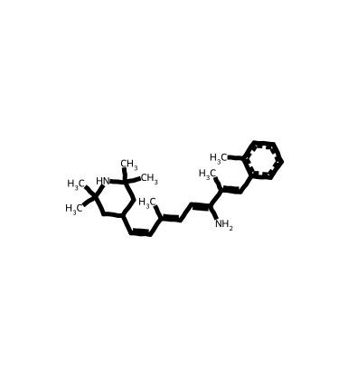 CC(/C=C\C1CC(C)(C)NC(C)(C)C1)=C\C=C(N)\C(C)=C\c1ccccc1C